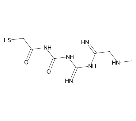 CNCC(=N)NC(=N)NC(=O)NC(=O)CS